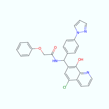 O=C(COc1ccccc1)NC(c1ccc(-n2cccn2)cc1)c1cc(Cl)c2cccnc2c1O